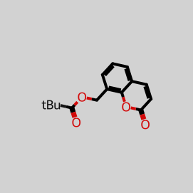 CC(C)(C)C(=O)OCc1cccc2ccc(=O)oc12